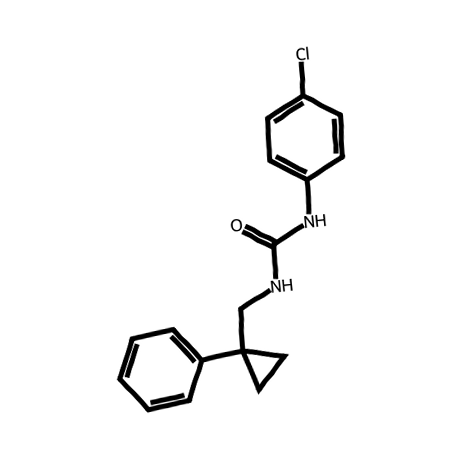 O=C(NCC1(c2ccccc2)CC1)Nc1ccc(Cl)cc1